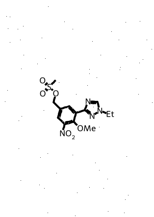 CCn1cnc(-c2cc(COS(C)(=O)=O)cc([N+](=O)[O-])c2OC)n1